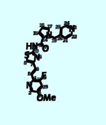 COc1cnc(/C=C/c2csc(NC(=O)c3cccn3Cc3ccncc3)n2)c(F)c1